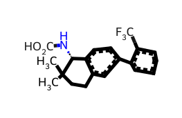 CC1(C)CCc2cc(-c3ccccc3C(F)(F)F)ccc2[C@H]1NC(=O)O